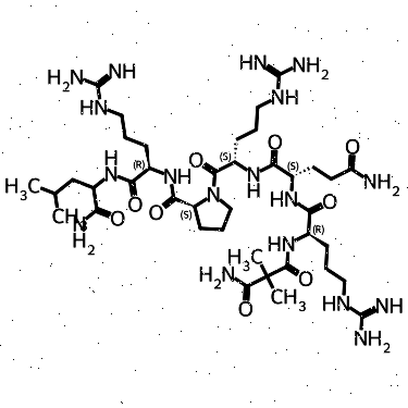 CC(C)CC(NC(=O)[C@@H](CCCNC(=N)N)NC(=O)[C@@H]1CCCN1C(=O)[C@H](CCCNC(=N)N)NC(=O)[C@H](CCC(N)=O)NC(=O)[C@@H](CCCNC(=N)N)NC(=O)C(C)(C)C(N)=O)C(N)=O